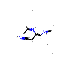 C=N/C=C(CC#N)\N=C/C